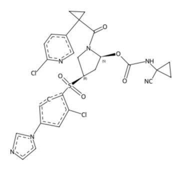 N#CC1(NC(=O)O[C@H]2C[C@@H](S(=O)(=O)c3ccc(-n4ccnc4)cc3Cl)CN2C(=O)C2(c3ccc(Cl)nc3)CC2)CC1